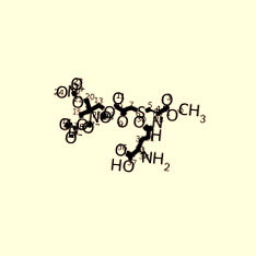 COC(=O)[C@H](CSCC(=O)C(=O)OCC(CO[N+](=O)[O-])(CO[N+](=O)[O-])[N+](=O)[O-])NC(=O)CC[C@H](N)C(=O)O